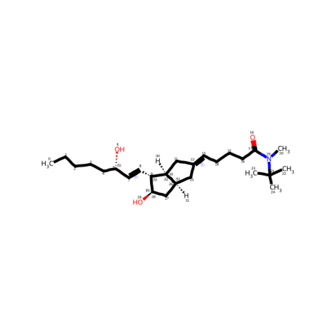 CCCCC[C@H](O)/C=C/[C@@H]1[C@H]2C/C(=C/CCCC(=O)N(C)C(C)(C)C)C[C@H]2C[C@H]1O